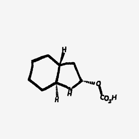 O=C(O)O[C@H]1C[C@H]2CCCC[C@@H]2N1